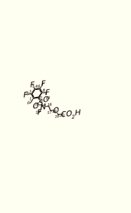 Cc1c(F)c(F)c(F)c(F)c1S(=O)(=O)N(F)CCOCC(=O)O